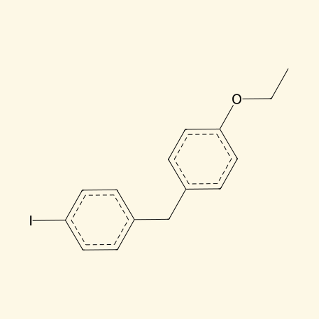 CCOc1ccc(Cc2ccc(I)cc2)cc1